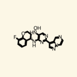 ONc1cnc(-c2cnn3ccncc23)nc1N[C@@H]1CCOc2c(F)cccc21